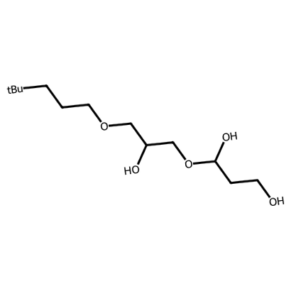 CC(C)(C)CCCOCC(O)COC(O)CCO